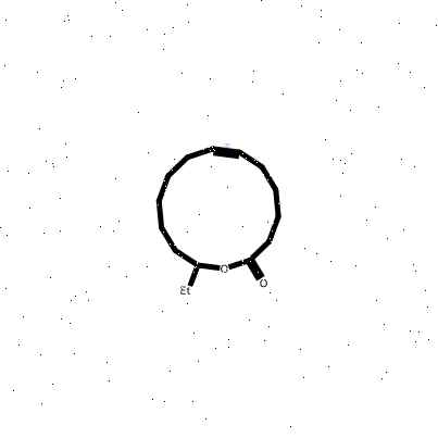 CCC1CCCCC/C=C\CCCCC(=O)O1